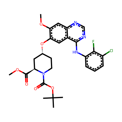 COC(=O)[C@H]1C[C@H](Oc2cc3c(Nc4cccc(Cl)c4F)ncnc3cc2OC)CCN1C(=O)OC(C)(C)C